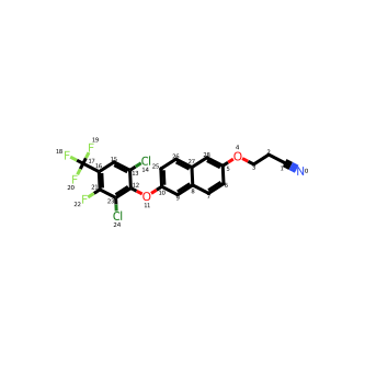 N#CCCOc1ccc2cc(Oc3c(Cl)cc(C(F)(F)F)c(F)c3Cl)ccc2c1